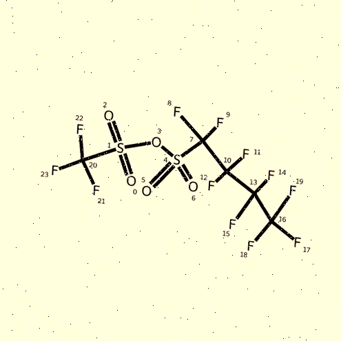 O=S(=O)(OS(=O)(=O)C(F)(F)C(F)(F)C(F)(F)C(F)(F)F)C(F)(F)F